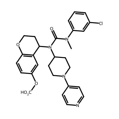 CN(C(=O)N(C1CCN(c2ccncc2)CC1)C1CCOc2ccc(OC(=O)O)cc21)c1cccc(Cl)c1